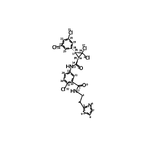 O=C(NCCc1nccs1)c1cc(NC(=O)[C@H]2[C@H](c3cc(Cl)cc(Cl)c3)C2(Cl)Cl)ccc1Cl